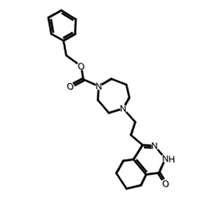 O=C(OCc1ccccc1)N1CCCN(CCc2n[nH]c(=O)c3c2CCCC3)CC1